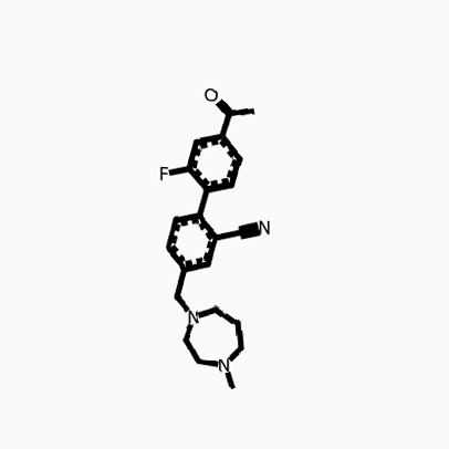 CC(=O)c1ccc(-c2ccc(CN3CCCN(C)CC3)cc2C#N)c(F)c1